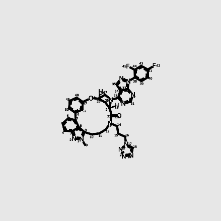 Cn1nc2cccc3c2c1CCCN(CCCn1cnnn1)C(=O)[C@@H]1C[C@@H](CN1c1ncnc2c1cnn2-c1ccc(F)cc1F)Oc1cccc-3c1